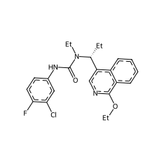 CCOc1ncc([C@@H](CC)N(CC)C(=O)Nc2ccc(F)c(Cl)c2)c2ccccc12